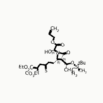 C=CCOC(=O)[C@@H](O)N1C(=O)[C@H]([C@@H](C)O[Si](C)(C)C(C)(C)C)[C@@H]1CCC(=S)CC(C(=O)OCC)C(=O)OCC